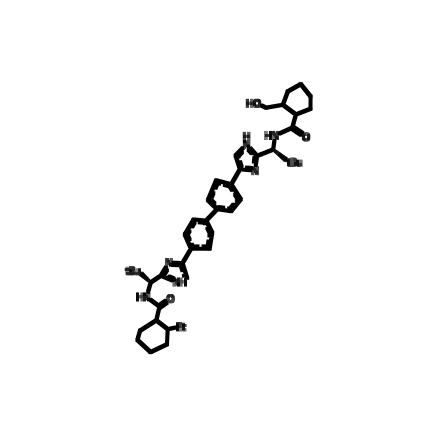 CCC1CCCCC1C(=O)N[C@H](c1nc(-c2ccc(-c3ccc(-c4c[nH]c([C@@H](NC(=O)C5CCCCC5CO)C(C)(C)C)n4)cc3)cc2)c[nH]1)C(C)(C)C